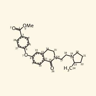 COC(=O)c1ccc(Oc2ccc3c(c2)CCN(CCN2CCCC2C)C3=O)cc1